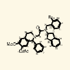 COc1cc2c(cc1OC)C(c1ccccc1)N(CC(=O)N(Cc1ccccc1F)C1Cc3ccccc3C1)CC2